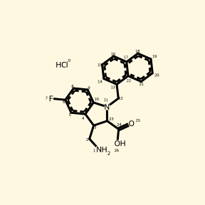 Cl.NCC1c2cc(F)ccc2N(Cc2cccc3ccccc23)C1C(=O)O